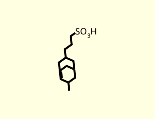 CC1C=C2CC(CCCS(=O)(=O)O)CC(C2)C1